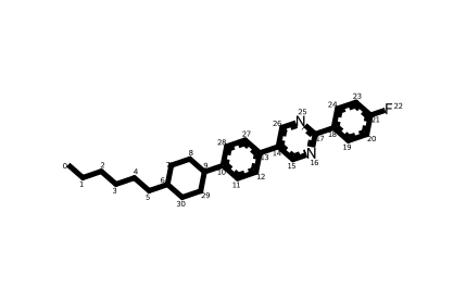 CCCCCCC1CCC(c2ccc(-c3cnc(-c4ccc(F)cc4)nc3)cc2)CC1